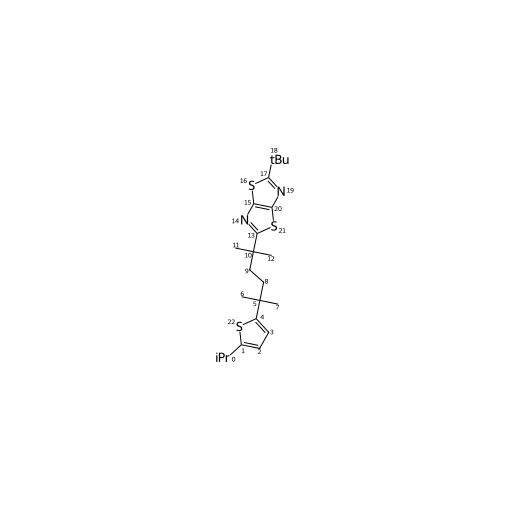 CC(C)c1ccc(C(C)(C)CCC(C)(C)c2nc3sc(C(C)(C)C)nc3s2)s1